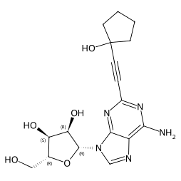 Nc1nc(C#CC2(O)CCCC2)nc2c1ncn2[C@@H]1O[C@H](CO)[C@@H](O)[C@H]1O